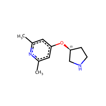 Cc1cc(O[C@H]2CCNC2)cc(C)n1